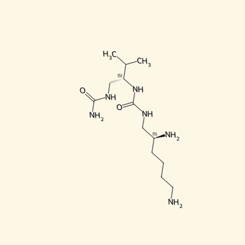 CC(C)[C@@H](CNC(N)=O)NC(=O)NC[C@@H](N)CCCCN